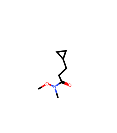 CON(C)C(=O)CCC1CC1